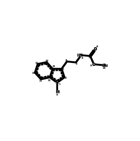 CCn1cc(CCNC(=O)OC(C)(C)C)c2ccccc21